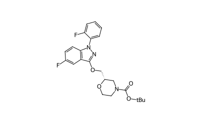 CC(C)(C)OC(=O)N1CCO[C@H](COc2nn(-c3ccccc3F)c3ccc(F)cc23)C1